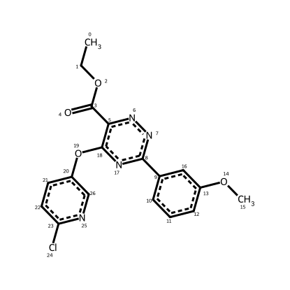 CCOC(=O)c1nnc(-c2cccc(OC)c2)nc1Oc1ccc(Cl)nc1